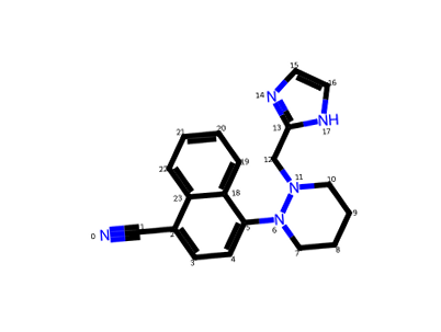 N#Cc1ccc(N2CCCCN2Cc2ncc[nH]2)c2ccccc12